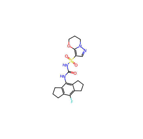 O=C(Nc1c2c(c(F)c3c1CCC3)CCC2)NS(=O)(=O)c1cnn2c1OCCC2